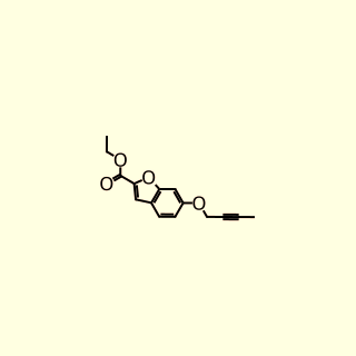 CC#CCOc1ccc2cc(C(=O)OCC)oc2c1